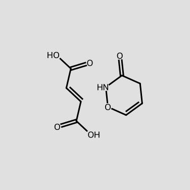 O=C(O)C=CC(=O)O.O=C1CC=CON1